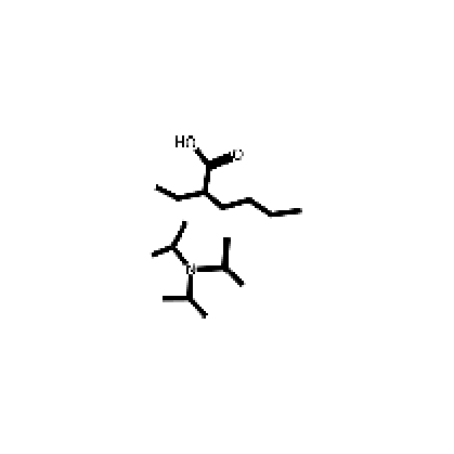 CC(C)N(C(C)C)C(C)C.CCCCC(CC)C(=O)O